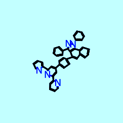 c1ccc(-c2nn(-c3ccccc3)c3c2c(-c2ccc(-c4cc(-c5ccccn5)nc(-c5ccccn5)c4)cc2)cc2ccccc23)cc1